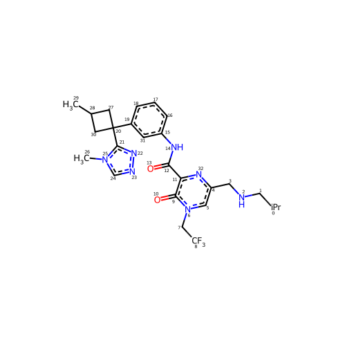 CC(C)CNCc1cn(CC(F)(F)F)c(=O)c(C(=O)Nc2cccc(C3(c4nncn4C)CC(C)C3)c2)n1